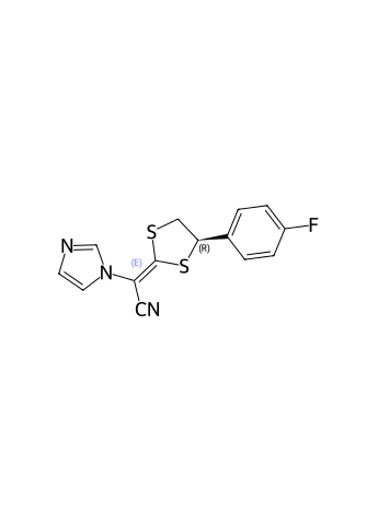 N#C/C(=C1/SC[C@@H](c2ccc(F)cc2)S1)n1ccnc1